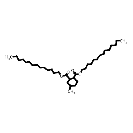 CCCCCCCCCCCCCCOC(=O)C1CCC(C)CC1C(=O)OCCCCCCCCCCCCCC